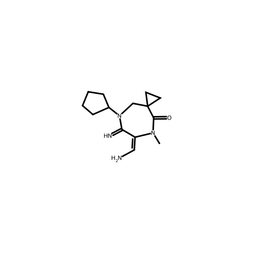 CN1C(=O)C2(CC2)CN(C2CCCC2)C(=N)/C1=C\N